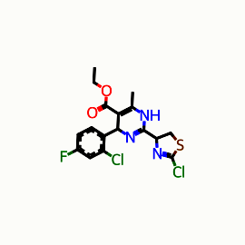 CCOC(=O)C1=C(C)NC(C2CSC(Cl)=N2)=NC1c1ccc(F)cc1Cl